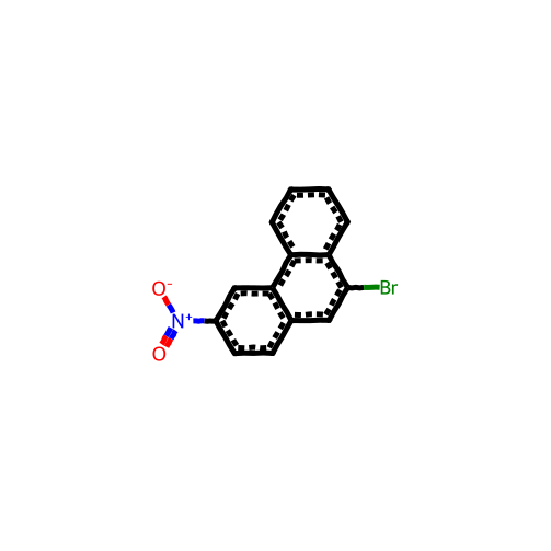 O=[N+]([O-])c1ccc2cc(Br)c3ccccc3c2c1